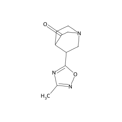 Cc1noc(C2CN3CCC2C(=O)C3)n1